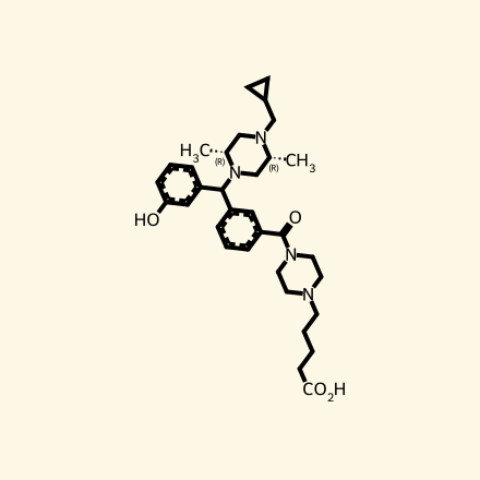 C[C@@H]1CN(C(c2cccc(O)c2)c2cccc(C(=O)N3CCN(CCCCC(=O)O)CC3)c2)[C@H](C)CN1CC1CC1